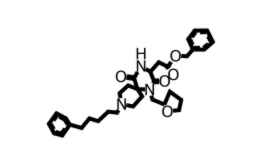 O=C(CC1NC(=O)C2(CCN(CCCCCc3ccccc3)CC2)N(CC2CCCO2)C1=O)OCc1ccccc1